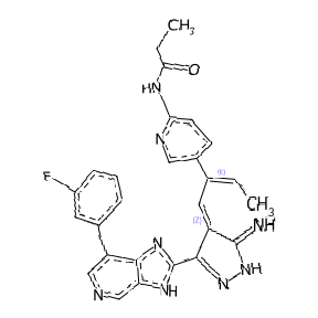 C/C=C(\C=C1/C(=N)NN=C1c1nc2c(-c3cccc(F)c3)cncc2[nH]1)c1ccc(NC(=O)CC)nc1